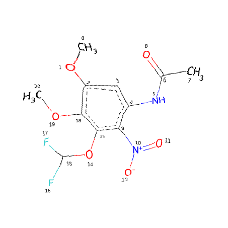 COc1cc(NC(C)=O)c([N+](=O)[O-])c(OC(F)F)c1OC